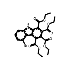 CCOC(=O)c1c(C(=O)OCC)c(C(=O)OCC)c2c([nH]c3cccc(Br)c32)c1C(=O)OCC